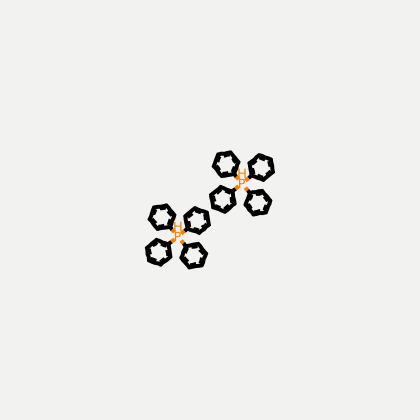 c1ccc([PH](c2ccccc2)(c2ccccc2)c2ccccc2)cc1.c1ccc([PH](c2ccccc2)(c2ccccc2)c2ccccc2)cc1